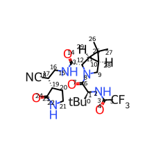 CC(C)(C)[C@H](NC(=O)C(F)(F)F)C(=O)N1C[C@H]2[C@@H]([C@H]1C(=O)NCC(C#N)[C@@H]1CCNC1=O)C2(C)C